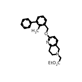 CCOC(=O)CN1CCc2nc(OCc3cccc(-c4ccccc4)c3C)ccc2C1